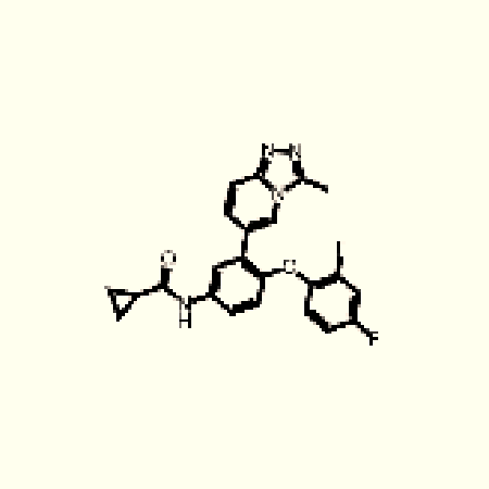 Cc1nnc2ccc(-c3cc(NC(=O)C4CC4)ccc3Oc3ccc(F)cc3F)cn12